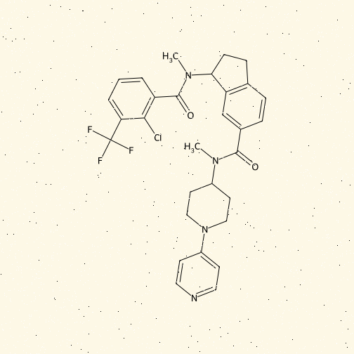 CN(C(=O)c1ccc2c(c1)C(N(C)C(=O)c1cccc(C(F)(F)F)c1Cl)CC2)C1CCN(c2ccncc2)CC1